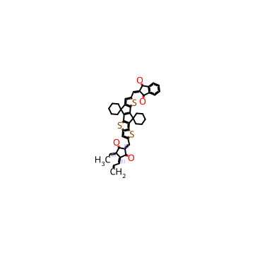 C=C/C=C1/C(=O)/C(=C/c2cc3sc4c(c3s2)C2(CCCCC2)C2=C4C3(CCCCC3)c3cc(C=C4C(=O)c5ccccc5C4=O)sc32)C(=O)/C1=C/C